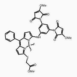 COC(=O)CSC1=[N+]2C(=C(c3ccccc3)c3ccc(Nc4cc(N5C(=O)C=C(OC)C5=O)cc(N5C(=O)C=C(OC)C5=O)c4)n3[B-]2(F)F)C=C1